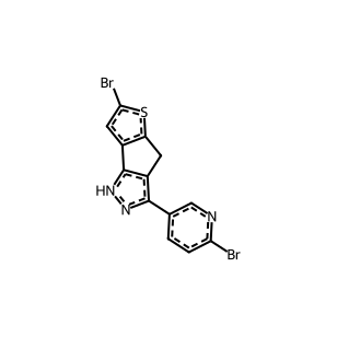 Brc1ccc(-c2n[nH]c3c2Cc2sc(Br)cc2-3)cn1